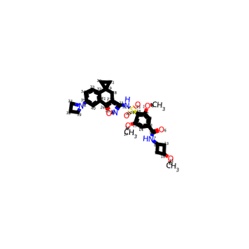 COc1cc(C(=O)NC2CC(OC)C2)cc(OC)c1S(=O)(=O)Nc1noc2c1CC1(CC1)c1ccc(N3CCC3)cc1-2